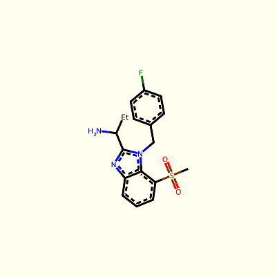 CCC(N)c1nc2cccc(S(C)(=O)=O)c2n1Cc1ccc(F)cc1